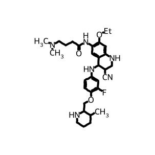 CCOc1cc2c(cc1NC(=O)CCCN(C)C)C(Nc1ccc(OCC3NCCCC3C)c(F)c1)C(C#N)CN2